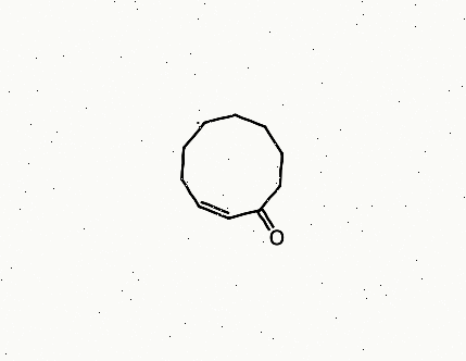 O=C1C=CCC[CH]CCCC1